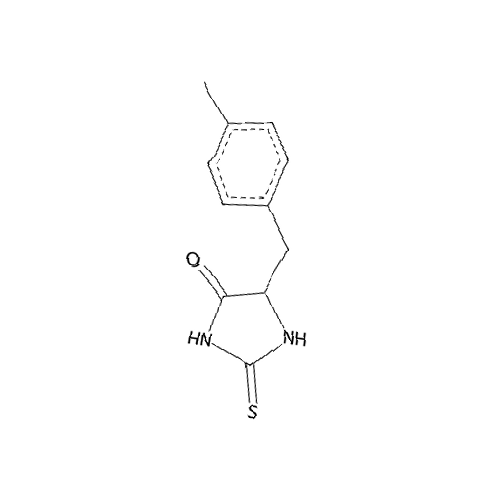 Cc1ccc(CC2NC(=S)NC2=O)cc1